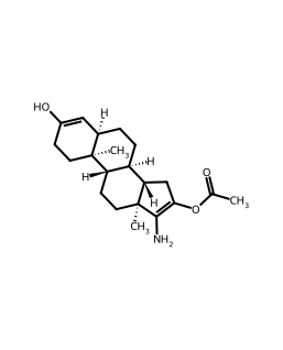 CC(=O)OC1=C(N)[C@@]2(C)CC[C@H]3[C@@H](CC[C@@H]4C=C(O)CC[C@@]43C)[C@@H]2C1